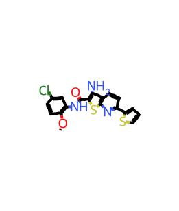 COc1ccc(Cl)cc1NC(=O)c1sc2nc(-c3cccs3)ccc2c1N